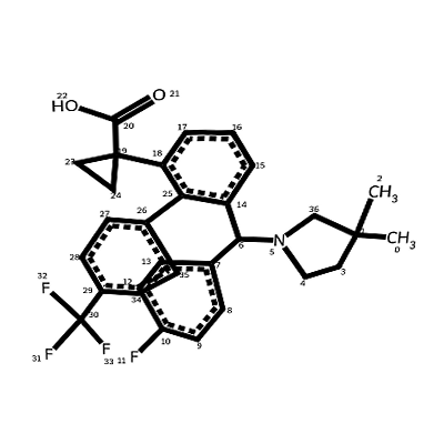 CC1(C)CCN(C(c2ccc(F)cc2)c2cccc(C3(C(=O)O)CC3)c2-c2ccc(C(F)(F)F)cc2)C1